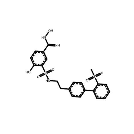 CS(=O)(=O)c1ccccc1-c1c[c]c(CCNS(=O)(=O)c2cc(C(=N)NO)ccc2O)cc1